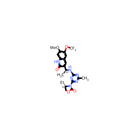 CC[C@H]1COC(=O)N1c1nc(C)nc(N[C@@H](C)c2cc3cc(OC(F)(F)F)c(OC)cc3[nH]c2=O)n1